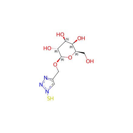 OC[C@H]1O[C@@H](OCc2cn(S)nn2)[C@H](O)[C@@H](O)[C@H]1O